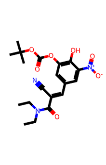 CCN(CC)C(=O)/C(C#N)=C/c1cc(OC(=O)OC(C)(C)C)c(O)c([N+](=O)[O-])c1